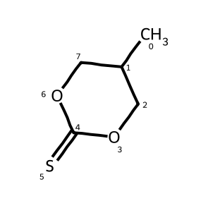 CC1COC(=S)OC1